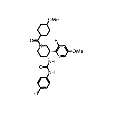 COc1cnc([C@@H]2CN(C(=O)C3CCC(OC)CC3)CC[C@H]2NC(=O)Nc2ccc(Cl)cc2)c(F)c1